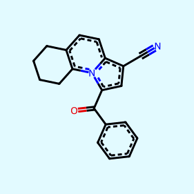 N#Cc1cc(C(=O)c2ccccc2)n2c3c(ccc12)CCCC3